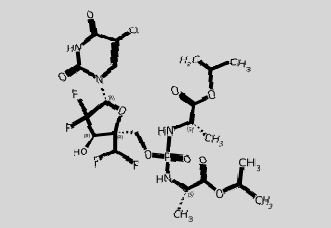 CC(C)OC(=O)[C@H](C)NP(=O)(N[C@@H](C)C(=O)OC(C)C)OC[C@@]1(C(F)F)O[C@@H](n2cc(Cl)c(=O)[nH]c2=O)C(F)(F)[C@@H]1O